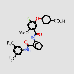 COc1cc(F)c(OC2CCC(C(=O)O)CC2)cc1C(=O)NC1C2CCC(C2)C1C(=O)Nc1cc(C(F)(F)F)cc(C(F)(F)F)c1